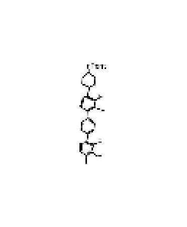 CCCCCC1CCC(c2ccc(-c3ccc(-c4ccc(C)c(F)c4F)cc3)c(F)c2F)CC1